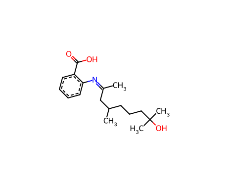 CC(CC(C)CCCC(C)(C)O)=Nc1ccccc1C(=O)O